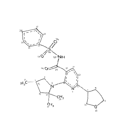 C[C@@H]1CN(c2nc(C3CCOC3)ccc2C(=O)NS(=O)(=O)c2ccccc2)C(C)(C)C1